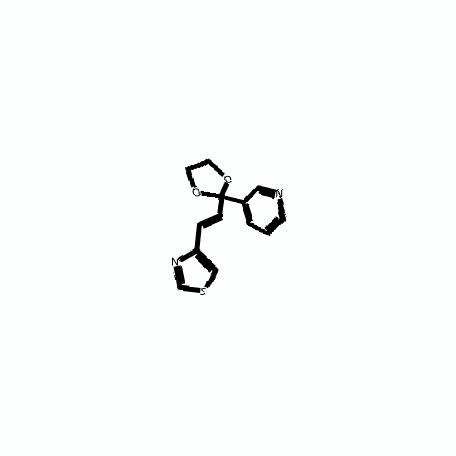 C(=CC1(c2cccnc2)OCCO1)c1cscn1